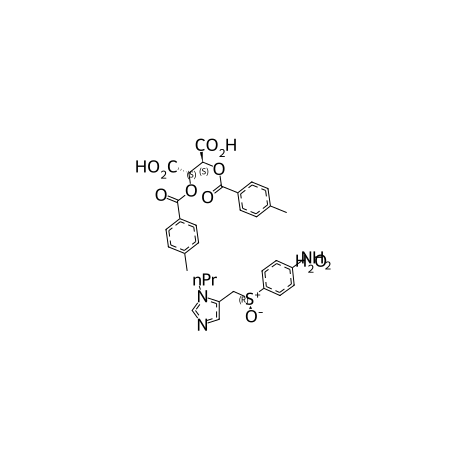 CCCn1cncc1C[S@+]([O-])c1ccc(N)cc1.Cc1ccc(C(=O)O[C@H](C(=O)O)[C@H](OC(=O)c2ccc(C)cc2)C(=O)O)cc1.O